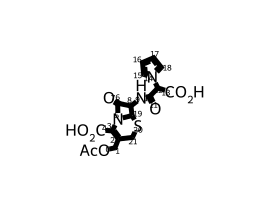 CC(=O)OCC1=C(C(=O)O)N2C(=O)C(NC(=O)C(C(=O)O)n3cccc3)C2SC1